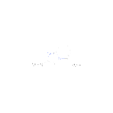 CNc1cn2c(OC)cccc2n1